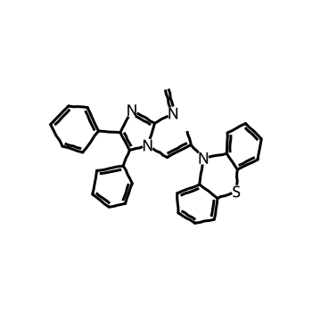 C=Nc1nc(-c2ccccc2)c(-c2ccccc2)n1/C=C(\C)N1c2ccccc2Sc2ccccc21